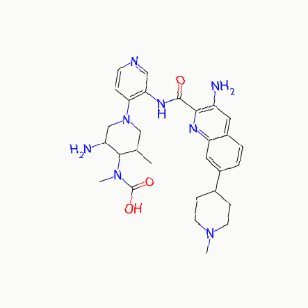 CC1CN(c2ccncc2NC(=O)c2nc3cc(C4CCN(C)CC4)ccc3cc2N)CC(N)C1N(C)C(=O)O